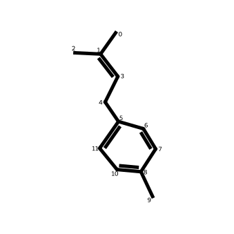 CC(C)=CCc1ccc(C)cc1